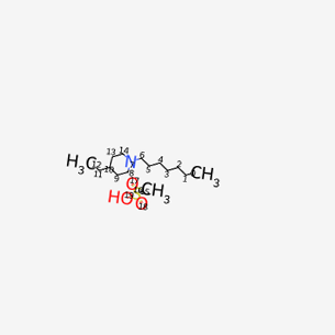 CCCCCCCN1CCC(CC)CC1.CS(=O)(=O)O